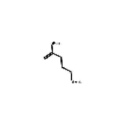 C=C(CCCCC)CCCCCCCC